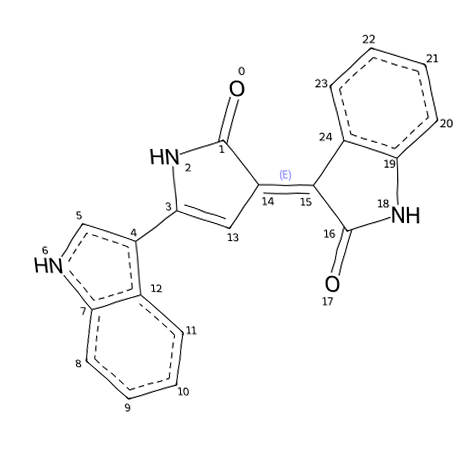 O=C1NC(c2c[nH]c3ccccc23)=C/C1=C1\C(=O)Nc2ccccc21